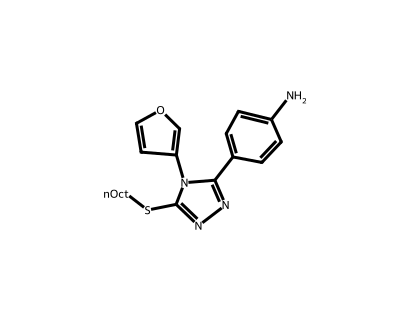 CCCCCCCCSc1nnc(-c2ccc(N)cc2)n1-c1ccoc1